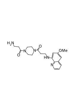 COc1cc(NCCC(=O)N2CCN(C(=O)CCN)CC2)c2ncccc2c1